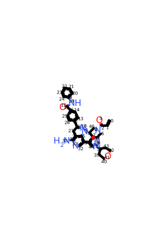 C=CC(=O)N1CCC[C@@H](N2N=C(c3ccc(C(=O)Nc4ccccc4)cc3)Cc3c(N)ncc(-c4cnn(C5CCOCC5)c4)c32)C1